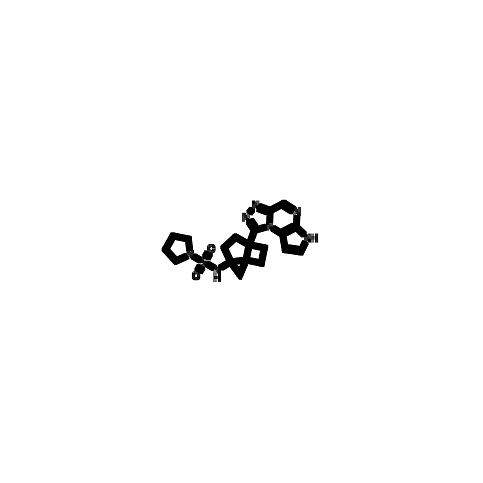 O=S(=O)(NC12CCC3(c4nnc5cnc6[nH]ccc6n45)CCC13C2)N1CCCC1